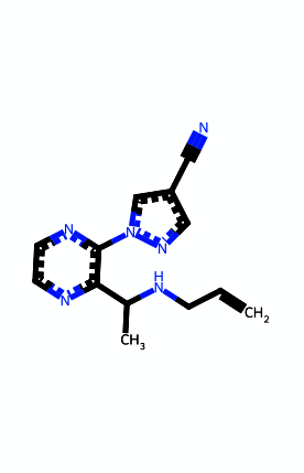 C=CCNC(C)c1nccnc1-n1cc(C#N)cn1